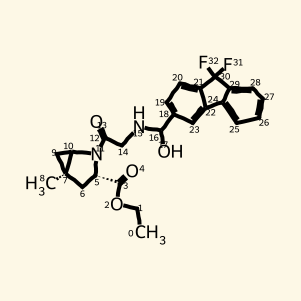 CCOC(=O)[C@@H]1C[C@@]2(C)CC2N1C(=O)CNC(O)c1ccc2c(c1)-c1ccccc1C2(F)F